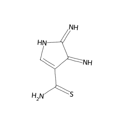 N=C1NC=C(C(N)=S)C1=N